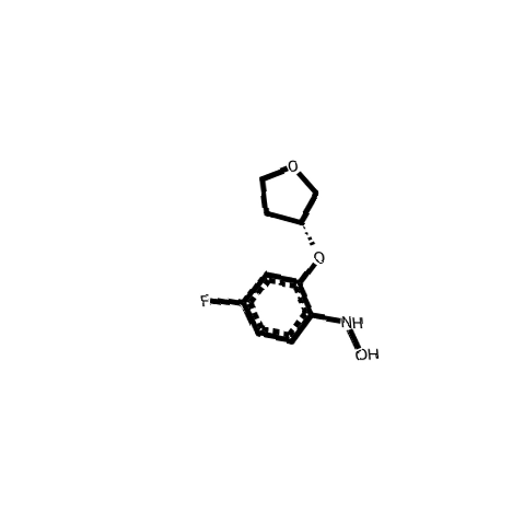 ONc1ccc(F)cc1O[C@@H]1CCOC1